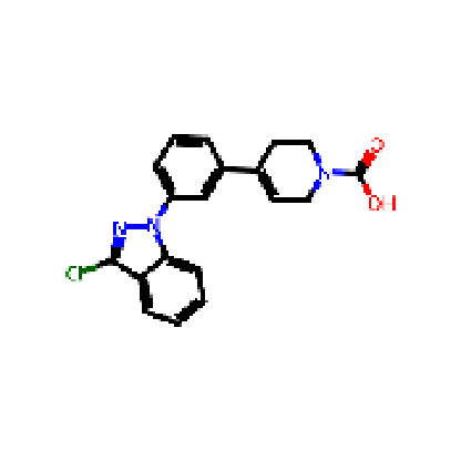 O=C(O)N1CC=C(c2cccc(-n3nc(Cl)c4ccccc43)c2)CC1